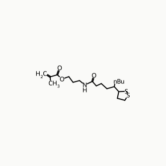 C=C(C)C(=O)OCCCNC(=O)CCCC(CCCC)C1CCSS1